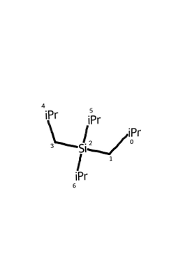 CC(C)C[Si](CC(C)C)(C(C)C)C(C)C